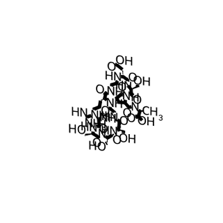 C[C@H](NC(=O)C1CCCN1C(=O)[C@H](CO)NC(=O)[C@@H](CC(=O)O)NC(=O)CNC(=O)[C@@H](CCCNC(=N)N)NC(=O)CNC(=O)[C@@H](CO)NC(=O)[C@H](CO)NC(=O)[C@@H](CO)NC(=O)CN)C(=O)O